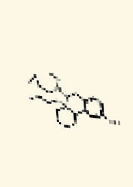 CCCOC12CCCCC1c1cc(O)ccc1C[C@H]2N(CC)CC1CC1